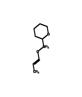 CC=CO[SiH2]C1CCCCO1